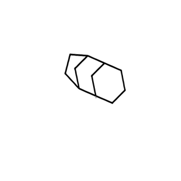 C1C[C]2CC(C1)C1CCC2C1